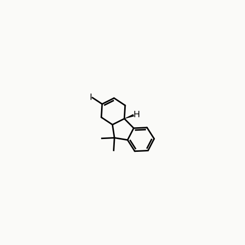 CC1(C)c2ccccc2[C@H]2CC=C(I)CC21